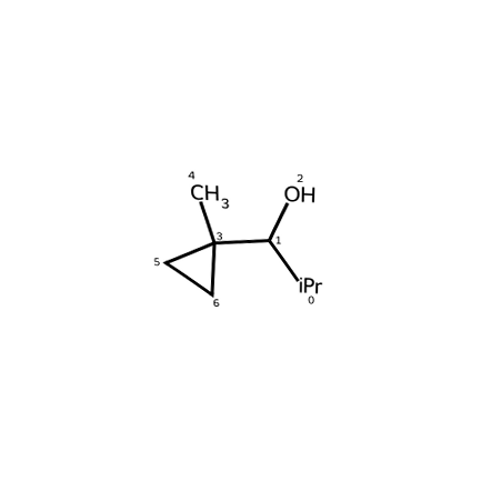 CC(C)C(O)C1(C)CC1